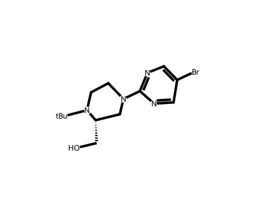 CC(C)(C)N1CCN(c2ncc(Br)cn2)C[C@@H]1CO